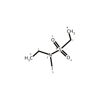 CCN(I)S(=O)(=O)CC